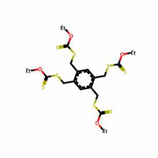 CCOC(=S)SCc1cc(CSC(=S)OCC)c(CSC(=S)OCC)cc1CSC(=S)OCC